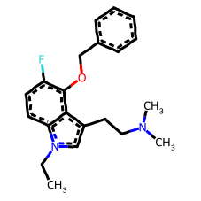 CCn1cc(CCN(C)C)c2c(OCc3ccccc3)c(F)ccc21